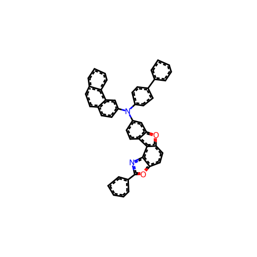 c1ccc(-c2ccc(N(c3ccc4c(c3)oc3ccc5oc(-c6ccccc6)nc5c34)c3ccc4ccc5ccccc5c4c3)cc2)cc1